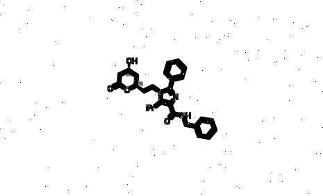 CC(C)c1c(C(=O)NCc2ccccc2)nc(-c2ccccc2)n1CC[C@@H]1C[C@@H](O)CC(=O)O1